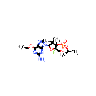 CCOc1nc(N)nc2c1ncn2[C@@H]1O[C@]2(F)CO[P@](=O)(OC(C)C)O[C@H]2C1(C)C